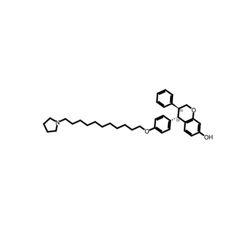 Oc1ccc2c(c1)OC[C@H](c1ccccc1)[C@H]2c1ccc(OCCCCCCCCCCCN2CCCC2)cc1